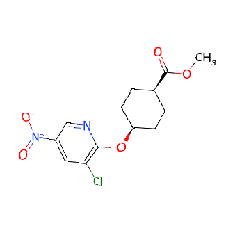 COC(=O)[C@H]1CC[C@@H](Oc2ncc([N+](=O)[O-])cc2Cl)CC1